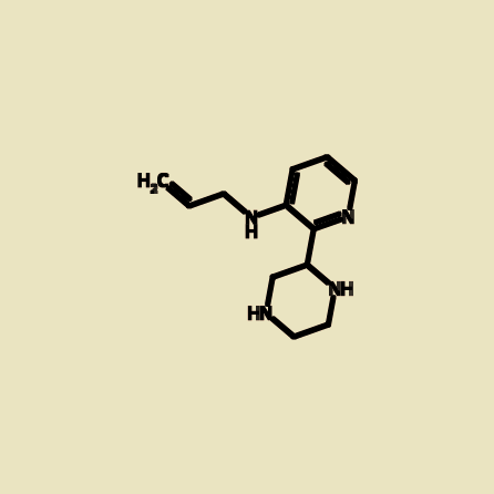 C=CCNc1cccnc1C1CNCCN1